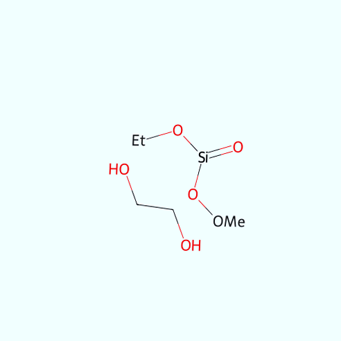 CCO[Si](=O)OOC.OCCO